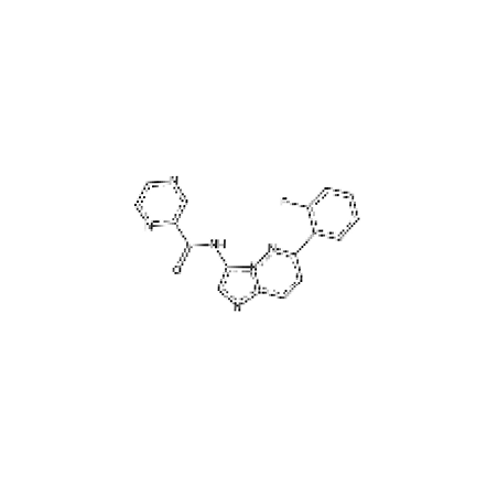 O=C(Nc1cnc2ccc(-c3ccccc3F)nn12)c1cnccn1